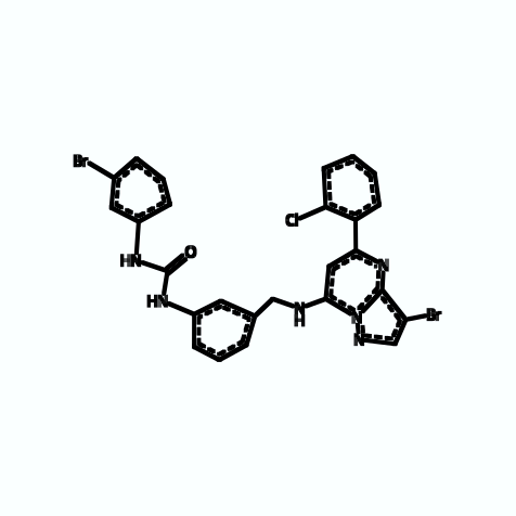 O=C(Nc1cccc(Br)c1)Nc1cccc(CNc2cc(-c3ccccc3Cl)nc3c(Br)cnn23)c1